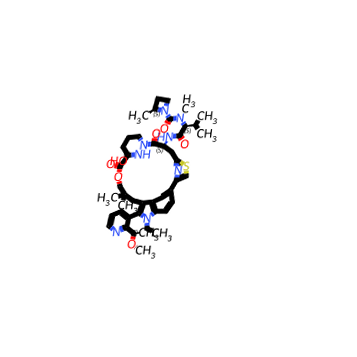 CCn1c(-c2cccnc2[C@H](C)OC)c2c3cc(ccc31)-c1csc(n1)C[C@H](NC(=O)[C@H](C(C)C)N(C)C(=O)N1CC[C@@H]1C)C(=O)N1CCC[C@@](O)(N1)C(=O)OCC(C)(C)C2